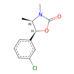 C[C@@H]1[C@H](c2cccc(Cl)c2)OC(=O)N1C